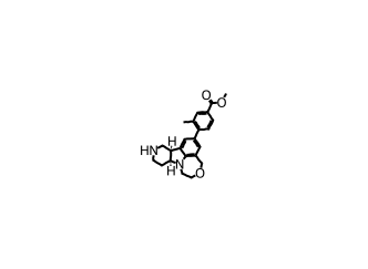 COC(=O)c1ccc(-c2cc3c4c(c2)[C@@H]2CNCC[C@@H]2N4CCOC3)c(C)c1